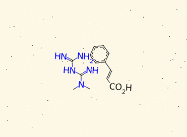 CN(C)C(=N)NC(=N)N.O=C(O)C=Cc1ccccc1